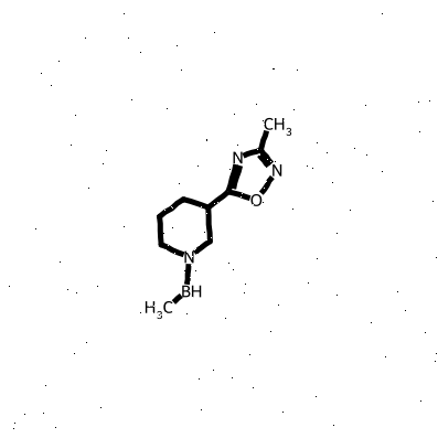 CBN1CCCC(c2nc(C)no2)C1